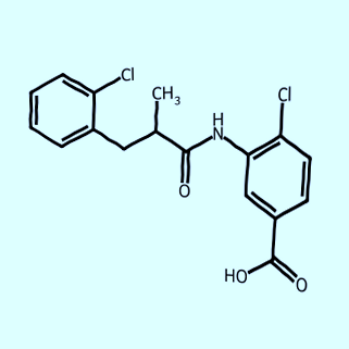 CC(Cc1ccccc1Cl)C(=O)Nc1cc(C(=O)O)ccc1Cl